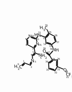 C=C/C=N\C=C(/N)c1ccnc(Nc2cc(NC(=O)c3cccc(OC(F)(F)F)c3)ccc2C)n1